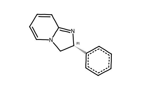 C1=CC2=N[C@H](c3ccccc3)CN2C=C1